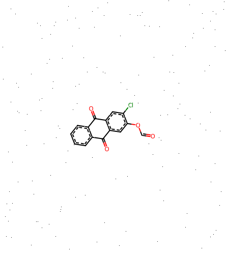 O=COc1cc2c(cc1Cl)C(=O)c1ccccc1C2=O